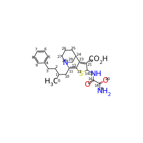 CC(CCc1ccccc1)CC1=C2SC(NC(=O)C(N)=O)C(C(=O)O)=C2C2CCCN1C2